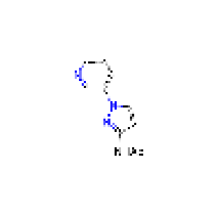 CC(=O)Nc1ccn(-c2cccnc2)n1